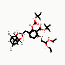 CCOC(CSc1ccc(CB2O[C@@H]3C[C@@H]4C[C@@H](C4(C)C)[C@]3(C)O2)c(OC(=O)OC(C)(C)C)c1C(=O)OC(C)(C)C)OCC